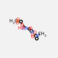 CCn1cc(S(=O)(=O)N2CCC3(CC2)C[C@@H](NCC(O)COc2cccc(S(C)(=O)=O)c2)CO3)c(=O)c2ccccc21